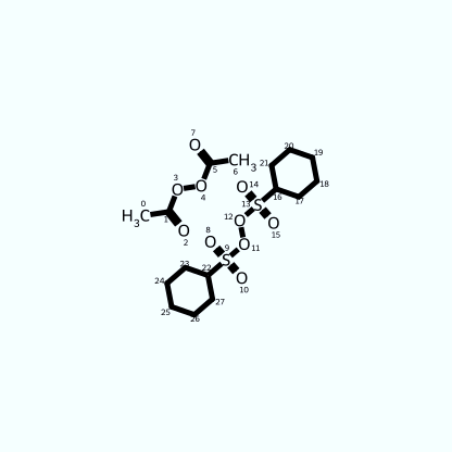 CC(=O)OOC(C)=O.O=S(=O)(OOS(=O)(=O)C1CCCCC1)C1CCCCC1